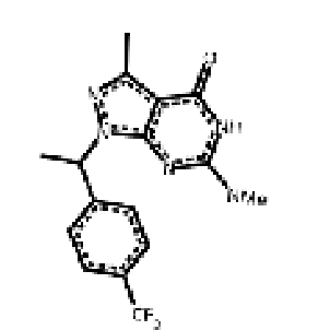 CNc1nc2c(c(C)nn2C(C)c2ccc(C(F)(F)F)cc2)c(=O)[nH]1